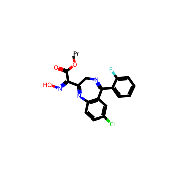 CC(C)OC(=O)C(=NO)C1=Nc2ccc(Cl)cc2C(c2ccccc2F)=NC1